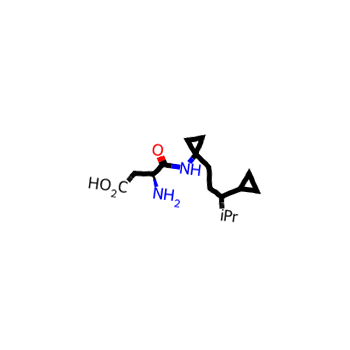 CC(C)C(CCC1(NC(=O)[C@@H](N)CC(=O)O)CC1)C1CC1